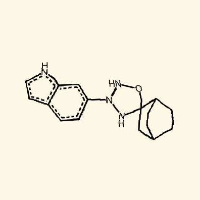 c1cc2ccc(N3NOC4(CC5CCC4CC5)N3)cc2[nH]1